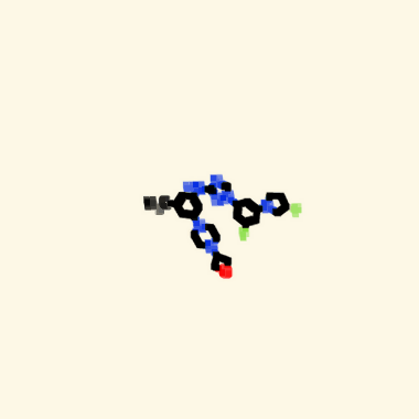 Cc1cc(Nc2ncn(-c3cc(F)cc(N4CC[C@H](F)C4)c3)n2)cc(N2CCN(C3COC3)CC2)c1